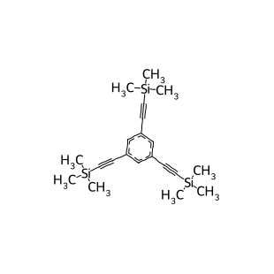 C[Si](C)(C)C#Cc1cc(C#C[Si](C)(C)C)cc(C#C[Si](C)(C)C)c1